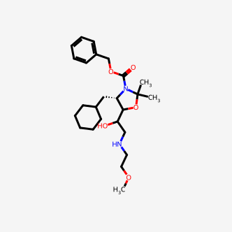 COCCNCC(O)C1OC(C)(C)N(C(=O)OCc2ccccc2)[C@H]1CC1CCCCC1